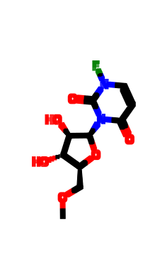 COC[C@@H]1O[C@H](n2c(=O)ccn(F)c2=O)[C@H](O)[C@H]1O